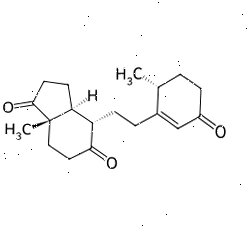 C[C@@H]1CCC(=O)C=C1CC[C@@H]1C(=O)CC[C@]2(C)C(=O)CC[C@@H]12